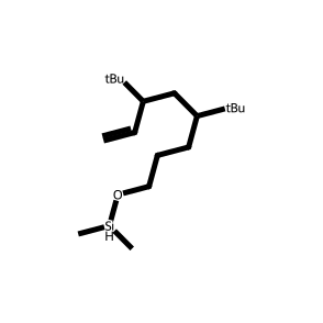 C=CC(CC(CCCO[SiH](C)C)C(C)(C)C)C(C)(C)C